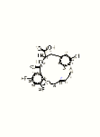 O=C1N[C@H](C(=O)O)Cc2ccc(c(Cl)c2)OC/C=C/COc2c(F)cc(F)cc21